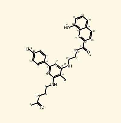 CC(=O)NCCNc1nc(-c2ccc(Cl)cc2)nc(NCCNC(=O)c2ccc3cccc(O)c3n2)c1C